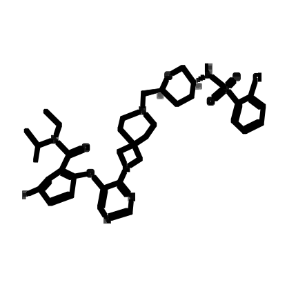 CCN(C(=O)c1cc(F)ccc1Oc1cncnc1N1CC2(CCN(C[C@@H]3CC[C@@H](NS(=O)(=O)c4ccccc4Cl)CO3)CC2)C1)C(C)C